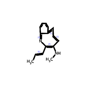 C/C=C/C1=C(NC)/C=C/C=c2\cccc\c2=N\1